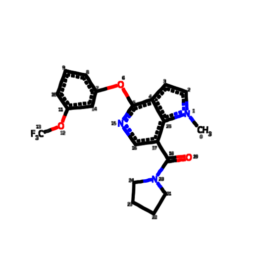 Cn1ccc2c(Oc3cccc(OC(F)(F)F)c3)ncc(C(=O)N3CCCC3)c21